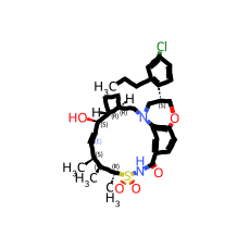 CCCc1cc(Cl)ccc1[C@@H]1COc2ccc3cc2N(C1)C[C@@H]1CC[C@H]1[C@H](O)/C=C/[C@H](C)[C@H](C)[C@@H](C)S(=O)(=O)NC3=O